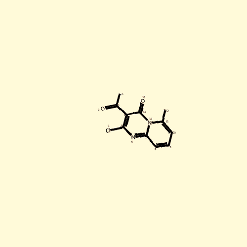 CC(=O)c1c(Cl)nc2cccc(C)n2c1=O